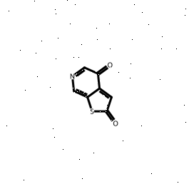 O=C1C=C2C(=O)C=NC=C2S1